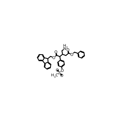 CS(=O)(=O)Oc1ccc(C(C(=O)OCC2c3ccccc3-c3ccccc32)C(CN)CC(=O)OCc2ccccc2)cc1